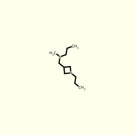 CCCN(C)CC1CN(CCC)C1